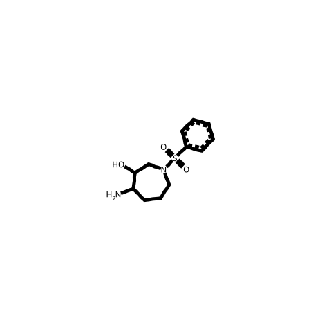 NC1CCCN(S(=O)(=O)c2ccccc2)CC1O